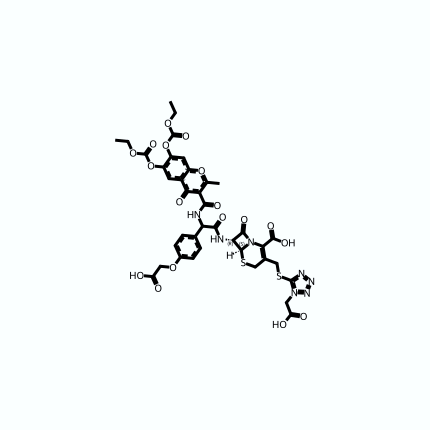 CCOC(=O)Oc1cc2oc(C)c(C(=O)NC(C(=O)N[C@@H]3C(=O)N4C(C(=O)O)=C(CSc5nnnn5CC(=O)O)CS[C@@H]34)c3ccc(OCC(=O)O)cc3)c(=O)c2cc1OC(=O)OCC